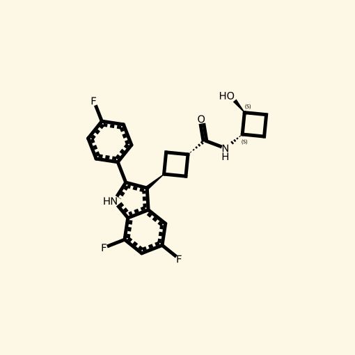 O=C(N[C@H]1CC[C@@H]1O)[C@H]1C[C@H](c2c(-c3ccc(F)cc3)[nH]c3c(F)cc(F)cc32)C1